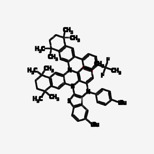 Cc1cc2c3c(c1)N(c1ccc(C(C)(C)C)cc1)c1c(sc4ccc(C(C)(C)C)cc14)B3c1cc3c(cc1N2c1cc2c(cc1-c1ccc(C(C)(F)F)cc1)C(C)(C)CCC2(C)C)C(C)(C)CCC3(C)C